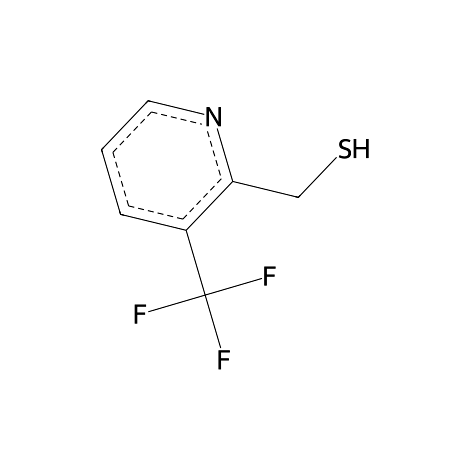 FC(F)(F)c1cccnc1CS